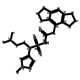 CN(C)CCN(c1cnn(C)c1)S(=O)(=O)NC(=O)Cc1c2c(cc3c1CCC3)CCC2